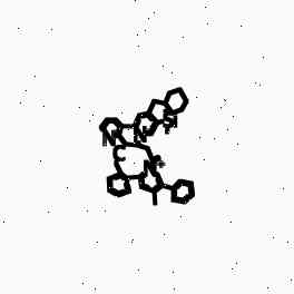 C=C1CC2C(CCc3ccccc3-c3cc(C)c(-c4ccccc4)c[n+]31)c1ncccc1-c1cc(CC3CCCCC3)c([Si](C)(C)C)c[n+]12